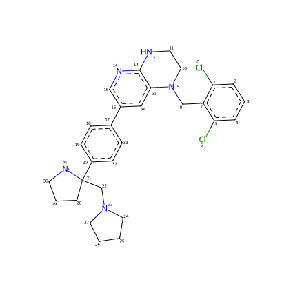 Clc1cccc(Cl)c1CN1CCNc2ncc(-c3ccc(C4(CN5CCCC5)CCC[N]4)cc3)cc21